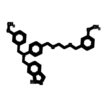 COc1cccc(COCCOCc2ccc(N(Cc3cccc(OC)c3)Cc3ccc4cn[nH]c4c3)cc2)c1